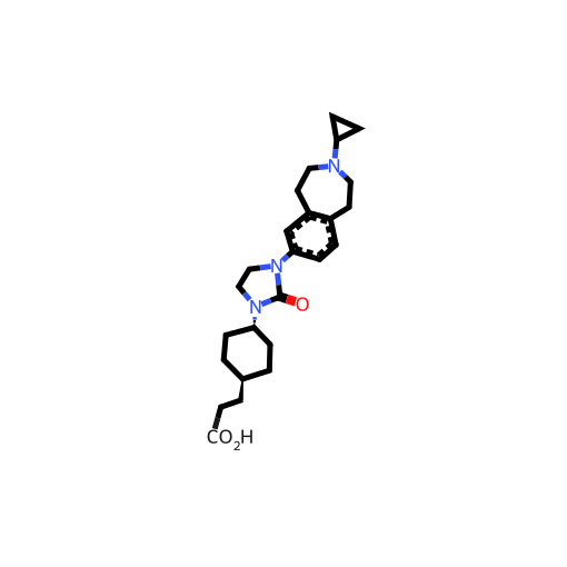 O=C(O)CC[C@H]1CC[C@H](N2CCN(c3ccc4c(c3)CCN(C3CC3)CC4)C2=O)CC1